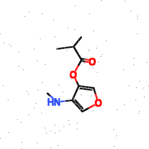 CNc1cocc1OC(=O)C(C)C